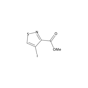 COC(=O)c1nscc1I